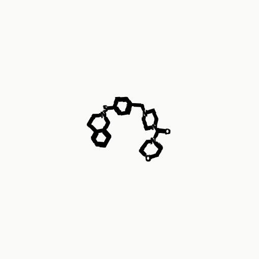 O=C(N1CCOCC1)N1CCN(Cc2ccc(SN3CCc4ccccc4C3)cc2)CC1